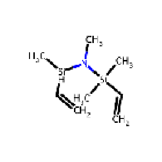 C=C[SiH](C)N(C)[Si](C)(C)C=C